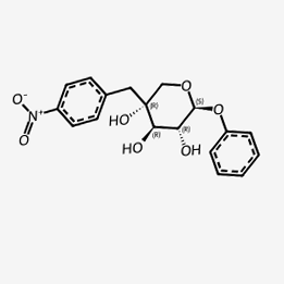 O=[N+]([O-])c1ccc(C[C@@]2(O)CO[C@@H](Oc3ccccc3)[C@H](O)[C@H]2O)cc1